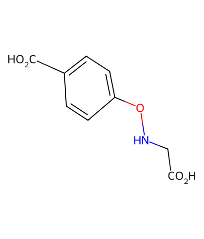 O=C(O)CNOc1ccc(C(=O)O)cc1